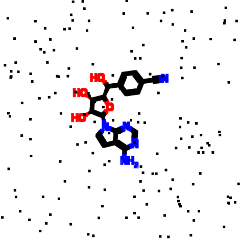 N#Cc1ccc(C(O)[C@H]2O[C@@H](n3ccc4c(N)ncnc43)[C@H](O)[C@@H]2O)cc1